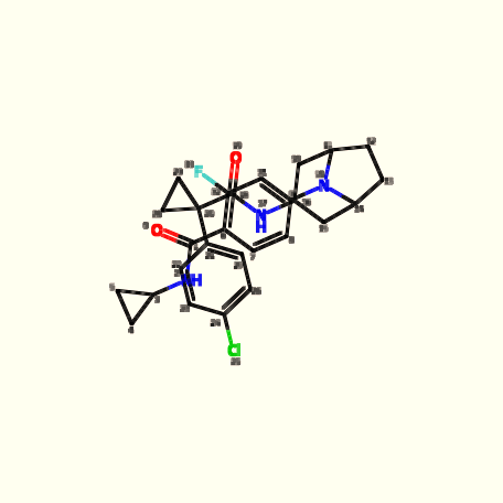 O=C(NC1CC1)c1ccc(N2C3CCC2CC(NC(=O)C2(c4ccc(Cl)cc4)CC2)C3)cc1F